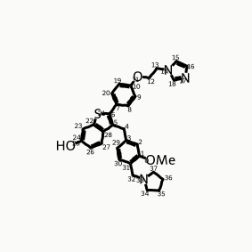 COc1cc(Cc2c(-c3ccc(OCCn4ccnc4)cc3)sc3cc(O)ccc23)ccc1CN1CCCC1